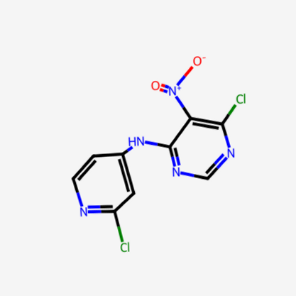 O=[N+]([O-])c1c(Cl)ncnc1Nc1ccnc(Cl)c1